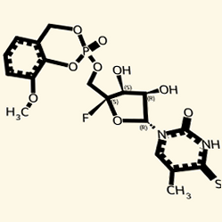 COc1cccc2c1OP(=O)(OC[C@@]1(F)O[C@@H](n3cc(C)c(=S)[nH]c3=O)[C@H](O)[C@@H]1O)OC2